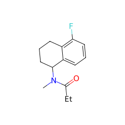 CCC(=O)N(C)C1CCCc2c(F)cccc21